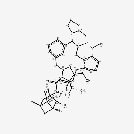 CC(C)C[C@@H](CN1CCCC1)N(Cc1cccc(CN2O[C@@H](CO)[C@@H]([C@H](C)O)[C@H]2C(=O)N[C@H]2C[C@H]3C[C@@H]([C@@H]2C)C3(C)C)c1)Cc1ccccc1OCC(N)=O